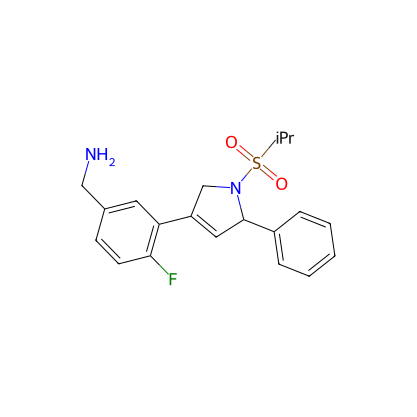 CC(C)S(=O)(=O)N1CC(c2cc(CN)ccc2F)=CC1c1ccccc1